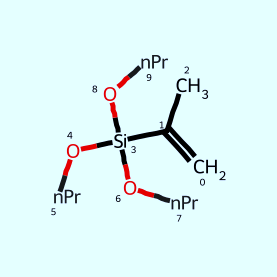 C=C(C)[Si](OCCC)(OCCC)OCCC